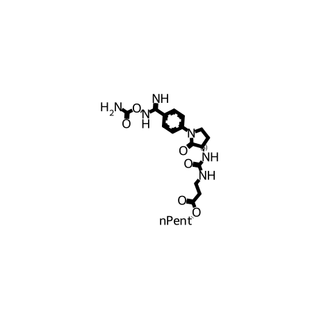 CCCCCOC(=O)CCNC(=O)N[C@H]1CCN(c2ccc(C(=N)NOC(N)=O)cc2)C1=O